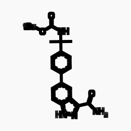 CC(C)(C)OC(=O)NC(C)(C)c1ccc(-c2ccc3[nH]nc(C(N)=O)c3c2)cc1